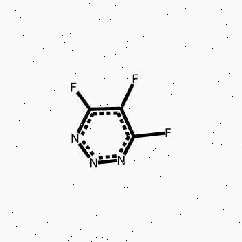 Fc1nnnc(F)c1F